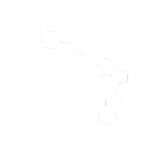 c1ccc2sc(-c3cnc4ccc(OCCCN5CCCCC5)nn34)cc2c1